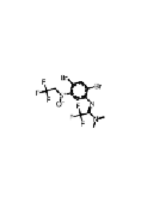 CN(C)/C(=N/c1cc([S+]([O-])CC(F)(F)F)c(Br)cc1Br)C(F)(F)F